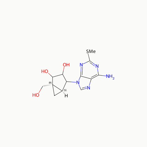 CSc1nc(N)c2ncn(C3C(O)C(O)[C@]4(CO)C[C@H]34)c2n1